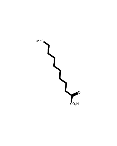 CSCCCCCCCCC(=O)C(=O)O